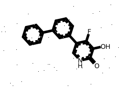 O=c1[nH]cc(-c2cccc(-c3ccccc3)c2)c(F)c1O